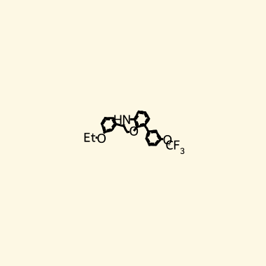 CCOc1cccc(C2COc3c(cccc3-c3cccc(OC(F)(F)F)c3)N2)c1